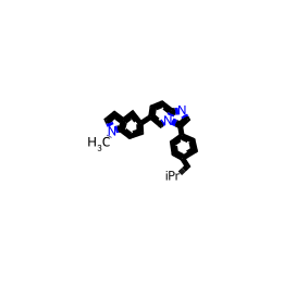 CC(C)Cc1ccc(-c2cnc3ccc(-c4ccc5c(ccn5C)c4)cn23)cc1